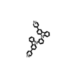 c1cc(-n2c3ccccc3c3cc(-c4ccncc4)ccc32)cc(-n2c3ccccc3c3cc(-c4ccncc4)ccc32)c1